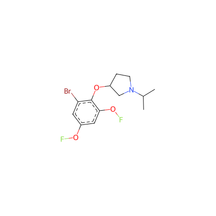 CC(C)N1CCC(Oc2c(Br)cc(OF)cc2OF)C1